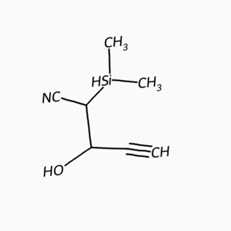 C#CC(O)C(C#N)[SiH](C)C